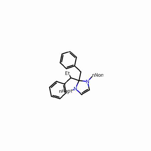 CCCCCCCCCN1C=CN(CCCCCCC)C1(Cc1ccccc1)C(CC)c1ccccc1